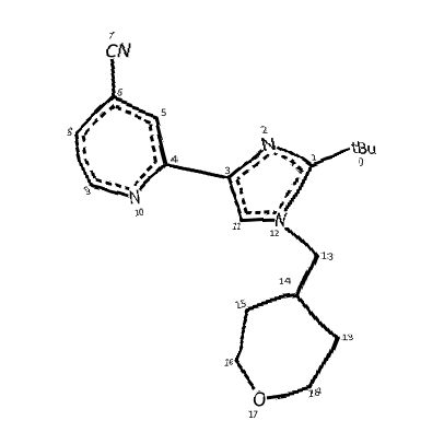 CC(C)(C)c1nc(-c2cc(C#N)ccn2)cn1CC1CCOCC1